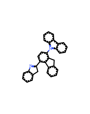 c1ccc2c(c1)CC(c1ccc(-n3c4ccccc4c4ccccc43)c3c1-c1ccccc1C3)=N2